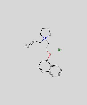 C=CC[N+]1(CCOc2cccc3ccccc23)CCCC1.[Br-]